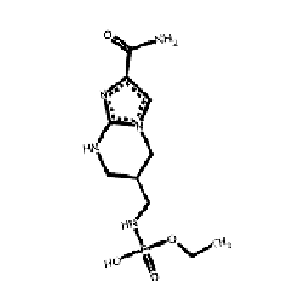 CCOP(=O)(O)NCC1CNc2nc(C(N)=O)cn2C1